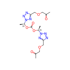 CC(=O)COCc1nnn([C@H](C)OC(=O)O[C@@H](C)n2nnc(COCC(C)=O)n2)n1